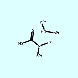 CCCN(CCC)C(=S)S.CCCNCCC